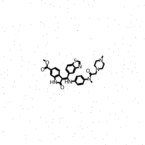 COC(=O)c1ccc2c(c1)NC(=O)/C2=C(\Nc1ccc(N(C)C(=O)CN2CCN(C)CC2)cc1)c1ccc2scnc2c1